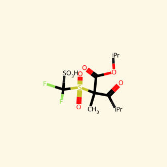 CC(C)OC(=O)C(C)(C(=O)C(C)C)S(=O)(=O)C(F)(F)S(=O)(=O)O